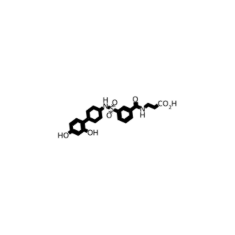 O=C(O)CCNC(=O)c1cccc(S(=O)(=O)NC2CCC(c3ccc(O)cc3O)CC2)c1